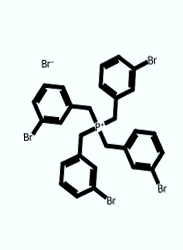 Brc1cccc(C[P+](Cc2cccc(Br)c2)(Cc2cccc(Br)c2)Cc2cccc(Br)c2)c1.[Br-]